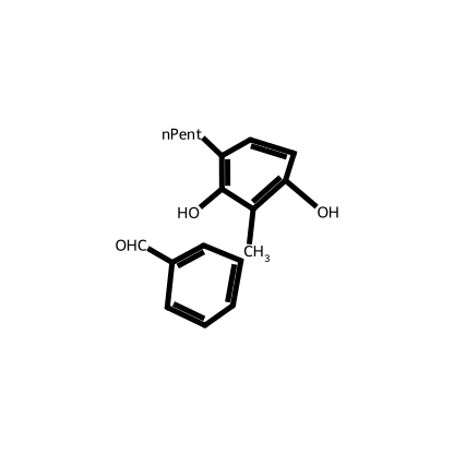 CCCCCc1ccc(O)c(C)c1O.O=Cc1ccccc1